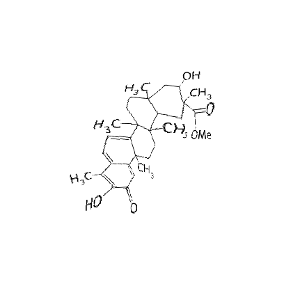 COC(=O)C1(C)CC2C(C)(CCC3(C)C4=CC=C5C(=CC(=O)C(O)=C5C)C4(C)CCC23C)CC1O